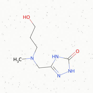 CN(CCCO)Cc1n[nH]c(=O)[nH]1